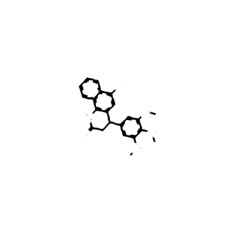 COc1cc(C2CC(=O)Nc3c2cc(Br)c2ccccc32)cc(OC)c1OC